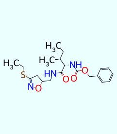 CCSC1=NOC(CNC(=O)[C@@H](NC(=O)OCc2ccccc2)[C@@H](C)CC)C1